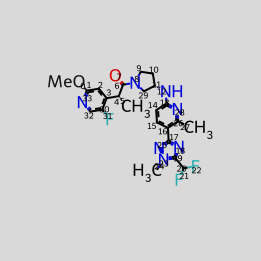 COc1cc([C@@H](C)C(=O)N2CC[C@H](Nc3ccc(-c4nc(C(F)F)n(C)n4)c(C)n3)C2)c(F)cn1